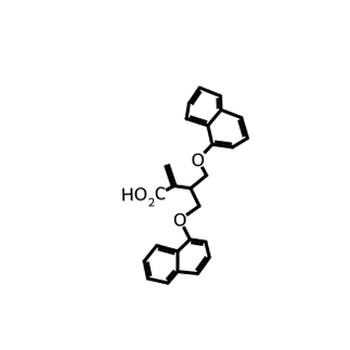 C=C(C(=O)O)C(COc1cccc2ccccc12)COc1cccc2ccccc12